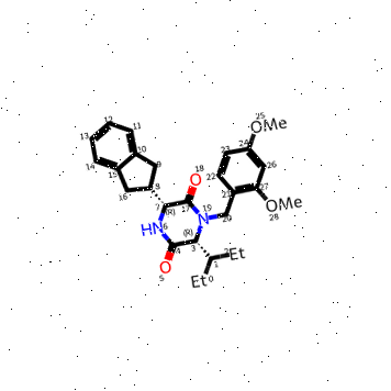 CCC(CC)[C@@H]1C(=O)N[C@H](C2Cc3ccccc3C2)C(=O)N1Cc1ccc(OC)cc1OC